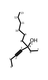 CCC#CC(O)(CC)CCCCCC